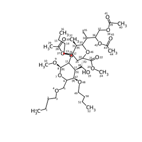 CCCCOCC1O[C@@H](OC)C(OCCCC)[C@@H](C(O)[C@]2(C(=O)OC)C[C@@H](OC(C)=O)[C@@H](C)C(C(I)C(COC(C)=O)OC(C)=O)O2)[C@H]1OCCCC